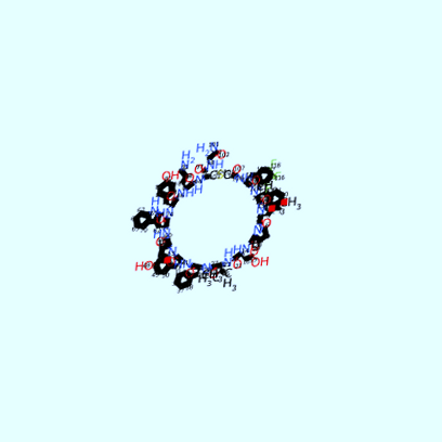 CCCC[C@H]1C(=O)N2CCC[C@@H]2C(=O)N[C@@H](CC(=O)O)C(=O)N[C@@H](C(C)C)C(=O)N(C)[C@@H](Cc2ccccc2)C(=O)N[C@@H](Cc2ccc(O)cc2)C(=O)N2CCC[C@@H]2C(=O)N[C@@H](Cc2c[nH]c3ccccc23)C(=O)N[C@@H](Cc2ccc(O)cc2)C(=O)N[C@@H](CCCN)C(=O)N[C@H](C(=O)NCC(N)=O)CSCC(=O)N[C@@H](Cc2cc(F)c(F)c(F)c2)C(=O)N(C)[C@@H](Cc2ccccc2)C(=O)N1C